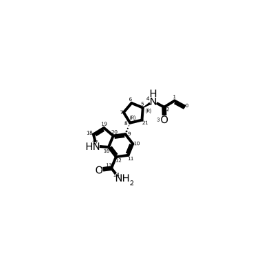 C=CC(=O)N[C@@H]1CC[C@@H](c2ccc(C(N)=O)c3[nH]ccc23)C1